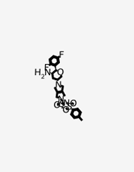 Cc1ccc(S(=O)(=O)N=S(C)(=O)N2CC3=C(CN([C@H]4CO[C@H](c5cc(F)ccc5F)[C@@H](N)C4)C3)C2)cc1